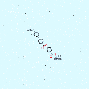 CCCCCCCCCCc1ccc(-c2ccc(C(=O)Oc3ccc(C(=O)OC(CC)CCCCCC)cc3)cc2)cc1